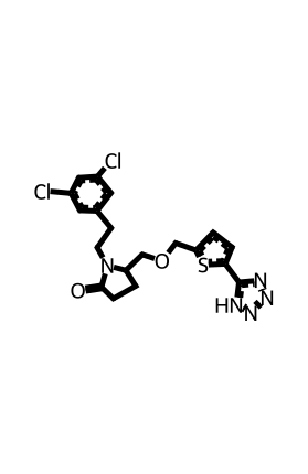 O=C1CCC(COCc2ccc(-c3nnn[nH]3)s2)N1CCc1cc(Cl)cc(Cl)c1